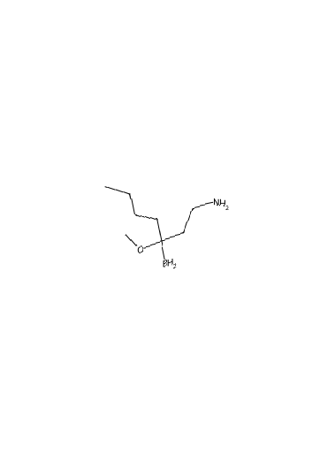 BC(CCN)(CCCC)OC